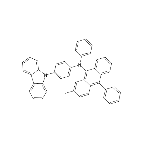 Cc1ccc2c(-c3ccccc3)c3ccccc3c(N(c3ccccc3)c3ccc(-n4c5ccccc5c5ccccc54)cc3)c2c1